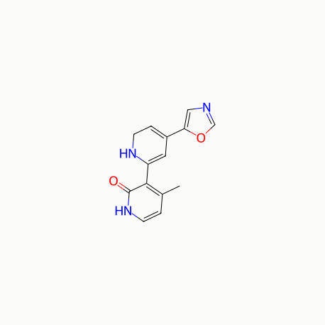 Cc1cc[nH]c(=O)c1C1=CC(c2cnco2)=CCN1